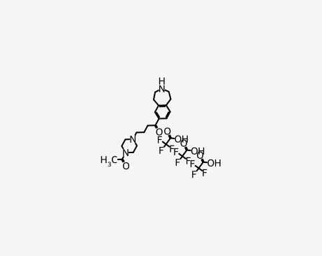 CC(=O)N1CCN(CCCC(=O)c2ccc3c(c2)CCNCC3)CC1.O=C(O)C(F)(F)F.O=C(O)C(F)(F)F.O=C(O)C(F)(F)F